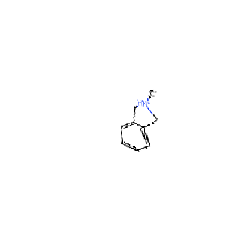 [CH2-][NH+]1Cc2ccccc2C1